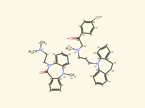 CN(C)CCN1C(=O)c2ccccc2N(C)c2ccccc21.CN(CCCN1c2ccccc2CCc2ccccc21)CC(=O)c1ccc(Cl)cc1